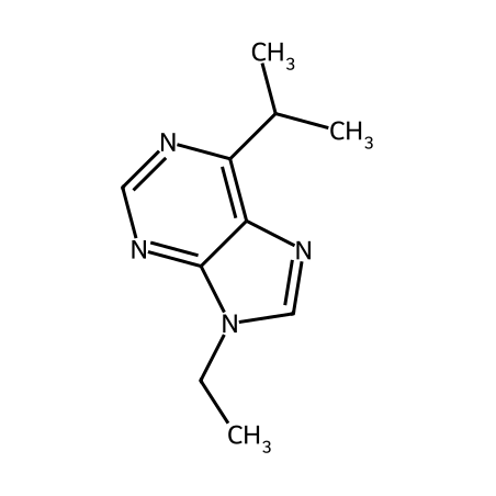 CCn1cnc2c(C(C)C)ncnc21